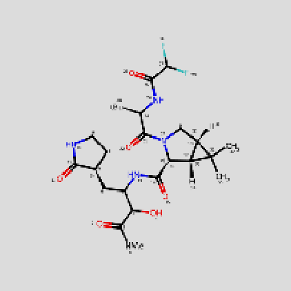 CNC(=O)C(O)C(C[C@@H]1CCNC1=O)NC(=O)[C@@H]1[C@@H]2[C@H](CN1C(=O)C(NC(=O)C(F)F)C(C)(C)C)C2(C)C